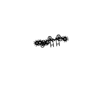 O=C(NCCCNC(=O)C1CCN(CS(=O)(=O)c2ccc3ccccc3c2)CC1)OCc1ccccc1